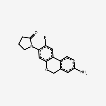 Nc1cc2c(cn1)-c1cc(F)c(N3CCCC3=O)cc1OC2